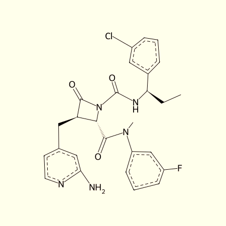 CC[C@@H](NC(=O)N1C(=O)[C@H](Cc2ccnc(N)c2)[C@H]1C(=O)N(C)c1cccc(F)c1)c1cccc(Cl)c1